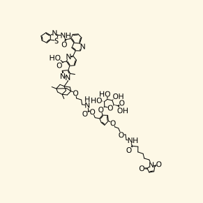 Cc1c(-c2ccc(-c3cnc4cccc(C(=O)Nc5nc6ccccc6s5)c4c3)nc2C(=O)O)cnn1CC12CC3(C)CC(C)(C1)CC(OCCCNC(=O)OCc1ccc(OCCOCCNC(=O)CCCCCN4C(=O)C=CC4=O)cc1O[C@@H]1O[C@H](C(=O)O)[C@@H](O)[C@H](O)[C@H]1O)(C3)C2